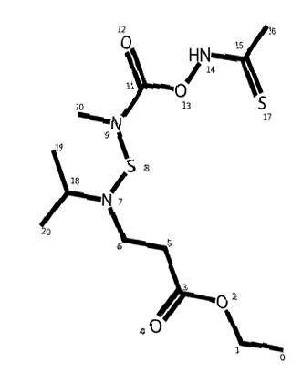 CCOC(=O)CCN(SN(C)C(=O)ONC(C)=S)C(C)C